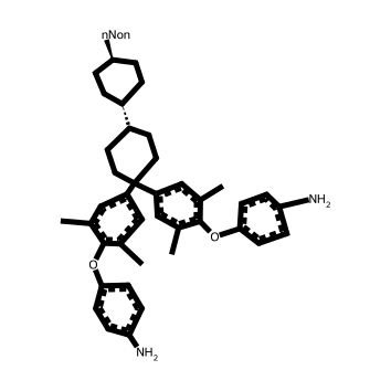 CCCCCCCCC[C@H]1CC[C@H](C2CCC(c3cc(C)c(Oc4ccc(N)cc4)c(C)c3)(c3cc(C)c(Oc4ccc(N)cc4)c(C)c3)CC2)CC1